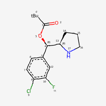 CC(C)(C)C(=O)O[C@H](c1ccc(Cl)c(F)c1)[C@H]1CCCN1